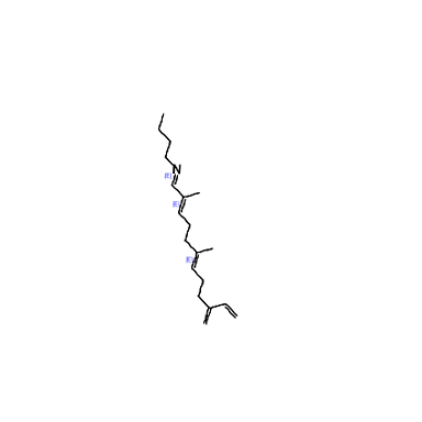 C=CC(=C)CC/C=C(\C)CC/C=C(C)/C=N/CCCC